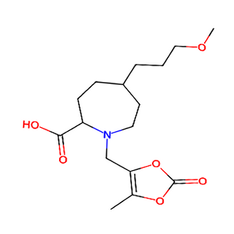 COCCCC1CCC(C(=O)O)N(Cc2oc(=O)oc2C)CC1